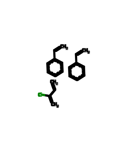 C=CC(=C)Cl.C=Cc1ccccc1.C=Cc1ccccc1